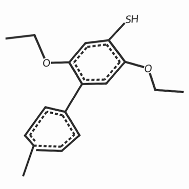 CCOc1cc(-c2ccc(C)cc2)c(OCC)cc1S